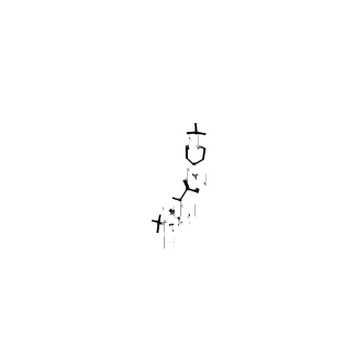 CC(NS(=O)(=O)NC(C)(C)C)c1cnn(C2CCN(C(C)(C)C)CC2)c1